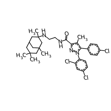 Cc1c(C(=O)NCCNC2(C)CC3CC(C)(C)CC(C)(C3)C2)nn(-c2ccc(Cl)cc2Cl)c1-c1ccc(Cl)cc1